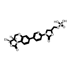 CC[C@@H]1OC(=O)N2c3ccc(-c4ccc(N5CC(COP(=O)(O)O)OC5=O)nc4)cc3OC[C@@H]12